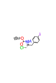 CC(C)(C)OC(=O)N[C@@H](CCl)Cc1ccc(I)cc1